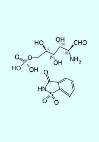 N[C@H](C=O)[C@@H](O)[C@H](O)[C@H](O)COP(=O)(O)O.O=C1NS(=O)(=O)c2ccccc21